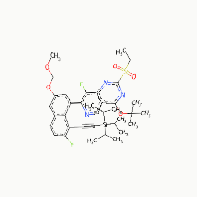 CCS(=O)(=O)c1nc(OC(C)(C)C)c2cnc(-c3cc(OCOC)cc4ccc(F)c(C#C[Si](C(C)C)(C(C)C)C(C)C)c34)c(F)c2n1